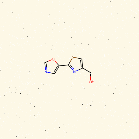 OCc1csc(-c2cnco2)n1